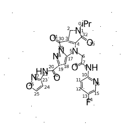 CC(C)N1Cc2c(n(CC(=O)Nc3ccc(F)cn3)c3cc(C(=O)Nc4ccon4)nn3c2=O)C1=O